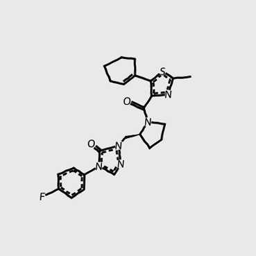 Cc1nc(C(=O)N2CCC[C@H]2Cn2ncn(-c3ccc(F)cc3)c2=O)c(C2=CCCCC2)s1